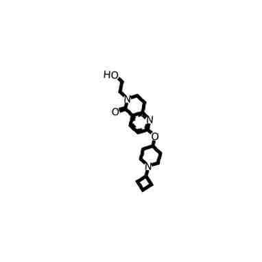 O=C1c2ccc(OC3CCN(C4CCC4)CC3)nc2CCN1CCO